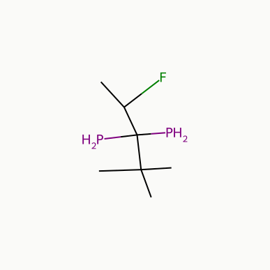 CC(F)C(P)(P)C(C)(C)C